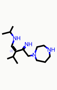 CC(C)N/C=C(\C(=N)CN1CCCNCC1)C(C)C